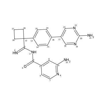 N=C(NC(=O)c1ccnc(N)c1)C1(c2ccc(-c3cnc(N)nc3)cc2)CCC1